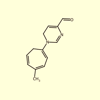 CC1=CC=C(N2C=NC(C=O)=CC2)CC=C1